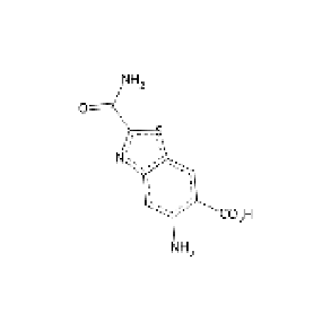 NC(=O)c1nc2cc(N)c(C(=O)O)cc2s1